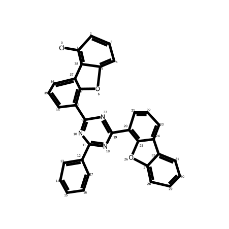 Clc1cccc2oc3c(-c4nc(-c5ccccc5)nc(-c5cccc6c5oc5ccccc56)n4)cccc3c12